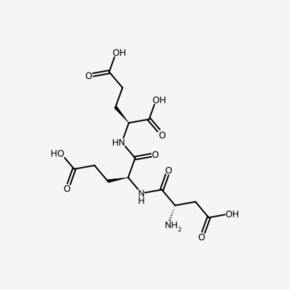 N[C@@H](CC(=O)O)C(=O)N[C@@H](CCC(=O)O)C(=O)N[C@@H](CCC(=O)O)C(=O)O